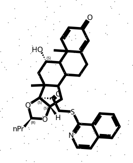 CCC[C@@H]1O[C@H]2CC3C4CCC5=CC(=O)C=CC5(C)C4[C@@H](O)CC3(C)[C@]2(C(=O)CSc2nccc3ccccc23)O1